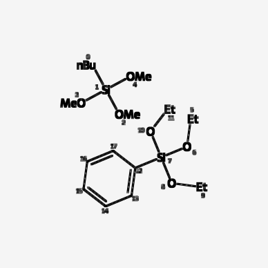 CCCC[Si](OC)(OC)OC.CCO[Si](OCC)(OCC)c1ccccc1